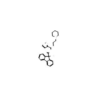 O=C(O[C@H](CCCN1CCCCC1)c1ccon1)C1(O)c2ccccc2-c2ccccc21